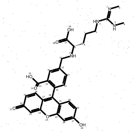 C/N=C(\NC)NCCC[C@H](NCc1ccc(-c2c3ccc(=O)cc-3oc3cc(O)ccc23)c(C(=O)O)c1)C(=O)O